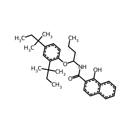 CCCC(NC(=O)c1ccc2ccccc2c1O)Oc1ccc(C(C)(C)CC)cc1C(C)(C)CC